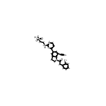 N#Cc1cc(-c2ccnc(NCCS(N)(=O)=O)n2)cc2c1N(C(=O)Cc1ccccc1F)CC2